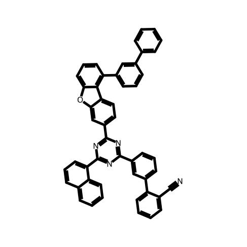 N#Cc1ccccc1-c1cccc(-c2nc(-c3ccc4c(c3)oc3cccc(-c5cccc(-c6ccccc6)c5)c34)nc(-c3cccc4ccccc34)n2)c1